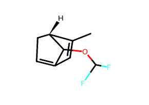 CC1=CC2=CC[C@H]1C2OC(F)F